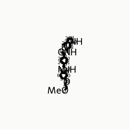 COCCOc1ccc2nc(-c3ccc(C(=O)Nc4cc5[nH]ccc5cn4)cc3)[nH]c2c1